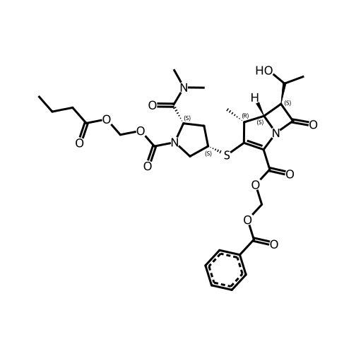 CCCC(=O)OCOC(=O)N1C[C@@H](SC2=C(C(=O)OCOC(=O)c3ccccc3)N3C(=O)[C@H](C(C)O)[C@H]3[C@H]2C)C[C@H]1C(=O)N(C)C